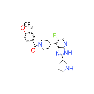 O=C(c1ccc(OC(F)(F)F)cc1)N1CCC(c2c(F)cnc3[nH]c(C4CCCNC4)nc23)CC1